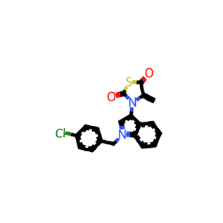 C=C1C(=O)SC(=O)N1c1cn(Cc2ccc(Cl)cc2)c2ccccc12